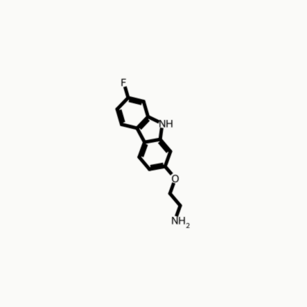 NCCOc1ccc2c(c1)[nH]c1cc(F)ccc12